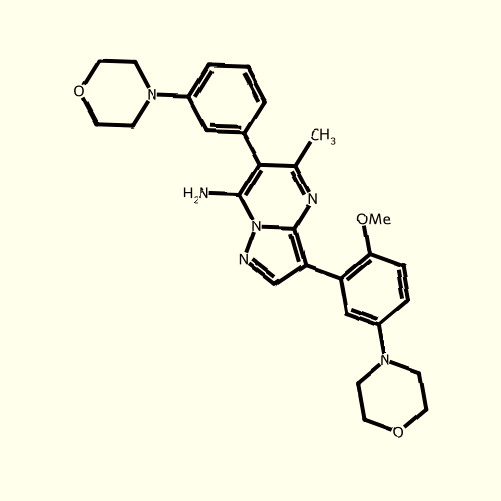 COc1ccc(N2CCOCC2)cc1-c1cnn2c(N)c(-c3cccc(N4CCOCC4)c3)c(C)nc12